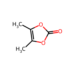 Cc1oc(=O)oc1C